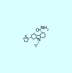 NC(=O)c1cccc2c1c1[c]cc(-c3cccs3)cc1n2CC1CC1